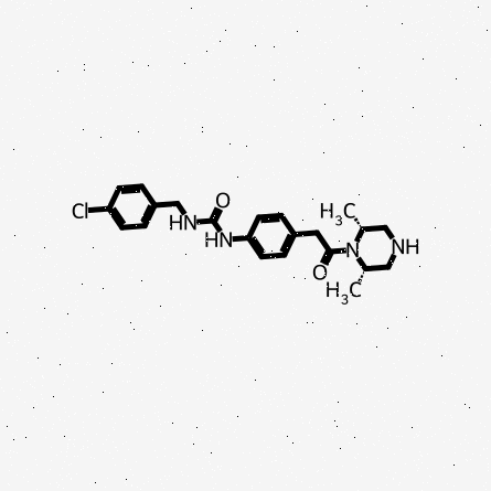 C[C@@H]1CNC[C@H](C)N1C(=O)Cc1ccc(NC(=O)NCc2ccc(Cl)cc2)cc1